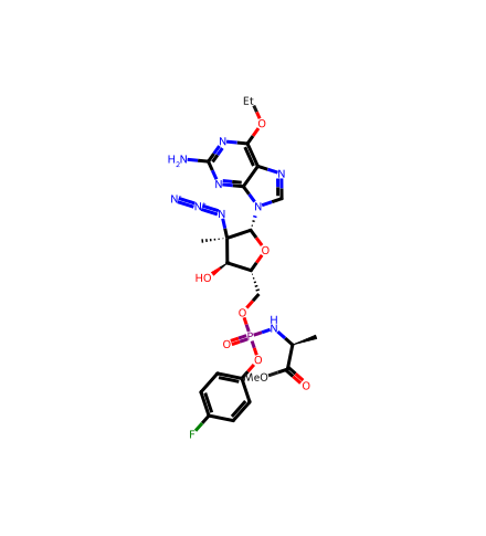 CCOc1nc(N)nc2c1ncn2[C@@H]1O[C@H](COP(=O)(N[C@@H](C)C(=O)OC)Oc2ccc(F)cc2)[C@@H](O)[C@@]1(C)N=[N+]=[N-]